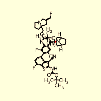 CC(C)(C)OC(=O)Nc1sc2c(F)ccc(-c3c(Cl)cc4c(N5C[C@H]6CC[C@@H](C5)N6C(=O)OC(C)(C)C)nc(OCC56CCCN5C/C(=C\F)C6)nc4c3F)c2c1C#N